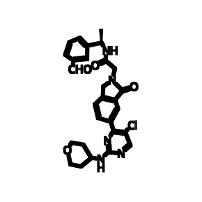 C[C@@H](NC(=O)CN1Cc2ccc(-c3nc(NC4CCOCC4)ncc3Cl)cc2C1=O)c1cccc(C=O)c1